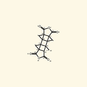 O=C1OC(=O)C23CC24C2(CC132)C12CC13C(=O)OC(=O)[C@@]31CC421